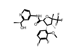 COc1c([C@@H]2[C@@H](C(=O)Nc3ccnc([C@H](C)O)c3)O[C@](C)(C(F)(F)F)[C@@H]2C)ccc(F)c1F